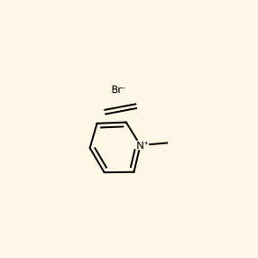 C=C.C[n+]1ccccc1.[Br-]